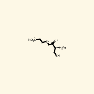 CCOC(=O)CCSCC(=O)[C@H](CS)NC